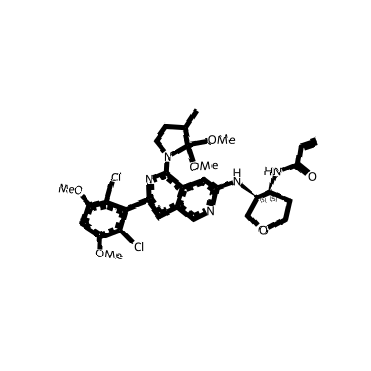 C=CC(=O)N[C@H]1CCOC[C@H]1Nc1cc2c(N3CCC(C)C3(OC)OC)nc(-c3c(Cl)c(OC)cc(OC)c3Cl)cc2cn1